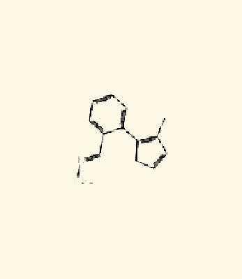 CCCC/N=C/c1ccccc1C1=C(C)C=CC1